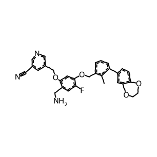 Cc1c(COc2cc(OCc3cncc(C#N)c3)c(CN)cc2F)cccc1-c1ccc2c(c1)OCCO2